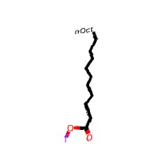 CCCCCCCCCCCCCCCCCC(=O)OI